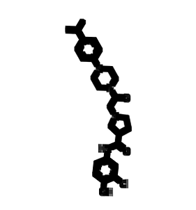 C=C(C)c1ccc(N2CCN(C(=O)CN3CCC(C(=O)Nc4ccc(O)c(Cl)c4)C3)CC2)cc1